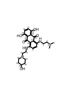 CN(C)CCNc1ccc(NCCN2CCC(O)CC2)c2c1C(=O)c1c(O)ccc(O)c1C2=O